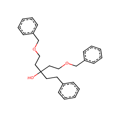 OC(CCOCc1ccccc1)(CCOCc1ccccc1)CCc1ccccc1